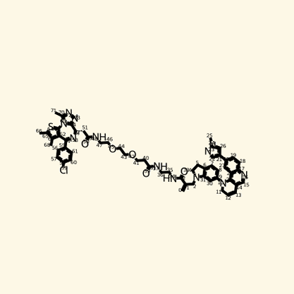 C=C(CN1CCc2ccc(N3CC=Cc4cnc5ccc(-c6cnn(C)c6)cc5c43)cc21)C(=O)NCCNC(=O)CCOCCOCCNC(=O)C[C@@H]1N=C(c2ccc(Cl)cc2)c2c(sc(C)c2C)-n2c(C)nnc21